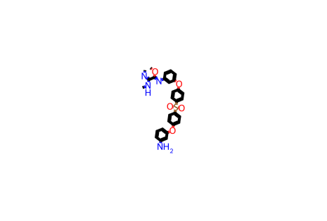 C/N=C(/NC)C(=Nc1cccc(Oc2ccc(S(=O)(=O)c3ccc(Oc4cccc(N)c4)cc3)cc2)c1)OC